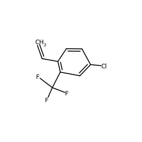 C=Cc1ccc(Cl)cc1C(F)(F)F